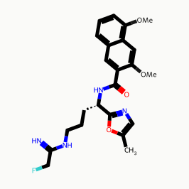 COc1cc2c(OC)cccc2cc1C(=O)N[C@@H](CCCNC(=N)CF)c1ncc(C)o1